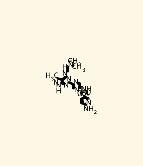 Cc1n[nH]c2nc(-c3cnc(NS(=O)(=O)c4ccc(N)nc4)cn3)nc(NCCN(C)C)c12